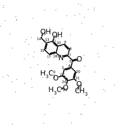 COc1cc(C(=O)c2ccc3c(O)c(CO)ccc3n2)cc(OC)c1OC